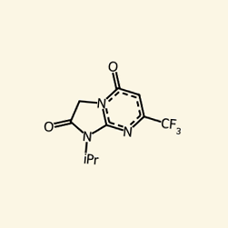 CC(C)N1C(=O)Cn2c1nc(C(F)(F)F)cc2=O